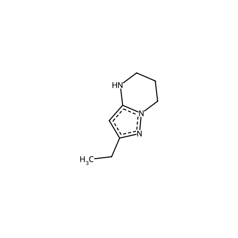 CCc1cc2n(n1)CCCN2